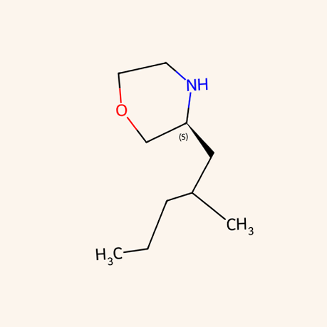 CCCC(C)C[C@H]1COCCN1